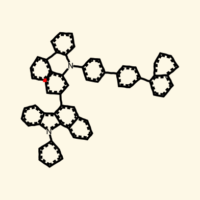 c1ccc(-c2ccccc2N(c2ccc(-c3ccc(-c4cccc5ccccc45)cc3)cc2)c2cccc(-c3cc4ccccc4c4c3c3ccccc3n4-c3ccccc3)c2)cc1